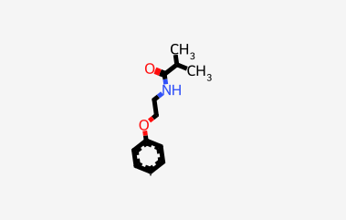 CC(C)C(=O)NCCOc1cc[c]cc1